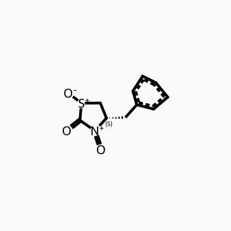 O=C1[N+](=O)[C@@H](Cc2ccccc2)C[S+]1[O-]